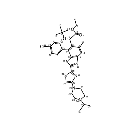 CCOC(=O)[C@@H](OC(C)(C)C)c1c(C)cc2nc(-c3nc(N4CCN(C(C)C)CC4)cs3)sc2c1-c1ccc(Cl)cc1